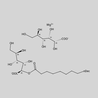 CCCCCCCCCCCCCCCCCC(=O)O[C@@H](C(=O)[O-])[C@@H](O)[C@H](O)[C@H](O)CO.O=C([O-])[C@H](O)[C@@H](O)[C@H](O)[C@H](O)CO.[Mg+2]